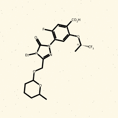 CCn1c(COC2CCCC(C)O2)nn(-c2cc(O[C@@H](C)C(F)(F)F)c(C(=O)O)cc2F)c1=O